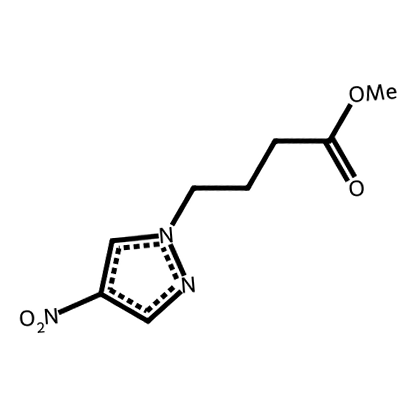 COC(=O)CCCn1cc([N+](=O)[O-])cn1